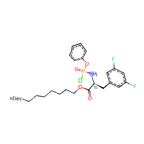 CCCCCCCCCCCCCCCCCOC(=O)[C@H](Cc1cc(F)cc(F)c1)NP(=O)(Cl)Oc1ccccc1